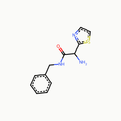 NC(C(=O)NCc1ccccc1)c1nccs1